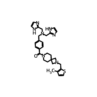 Cc1ccsc1CN1CC2(CCN(C(=O)c3ccc(CN(Cc4ncc[nH]4)Cc4ncc[nH]4)cc3)CC2)C1